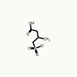 CC(CC(=O)O)CS(=O)(=O)Cl